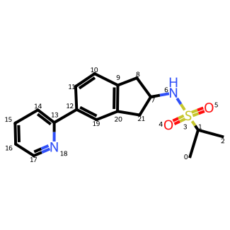 CC(C)S(=O)(=O)NC1Cc2ccc(-c3ccccn3)cc2C1